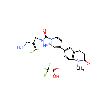 CN1C(=O)CCc2cc(-c3ccn4c(=O)n(CC(CN)=C(F)F)nc4c3)ccc21.O=C(O)C(F)(F)F